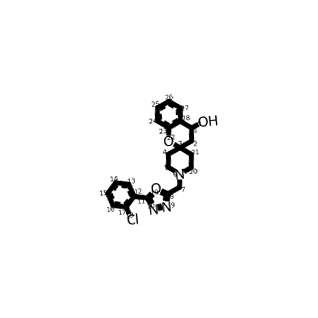 OC1CC2(CCN(Cc3nnc(-c4ccccc4Cl)o3)CC2)Oc2ccccc21